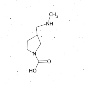 CNCC1CCN(C(=O)O)C1